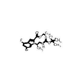 CCOC(=O)c1cc2c(F)cc(Br)cc2n1[C@H](C)CNC(=O)OC(C)(C)C